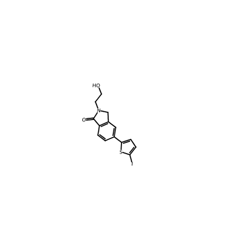 O=C1c2ccc(-c3ccc(I)s3)cc2CN1CCO